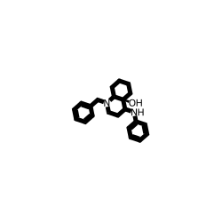 O[C@]12CCCCC1N(Cc1ccccc1)CCC2Nc1ccccc1